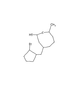 CCC1CCCC1CC1CCCC(C)CC(S)C1